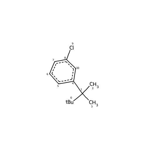 CC(C)(C)C(C)(C)c1cccc(Cl)c1